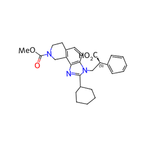 COC(=O)N1CCc2ccc3c(nc(C4CCCCC4)n3C[C@@H](C(=O)O)c3ccccc3)c2C1